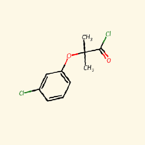 CC(C)(Oc1cccc(Cl)c1)C(=O)Cl